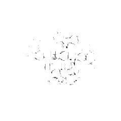 CC1(C)CCC(C)(C)c2cc(C3[C@H]4c5cc6c(cc5B5c7c(cc(N8c9ccccc9C9(C)CCCC[C@]89C)cc7N(c7ccc8c(c7)C(C)(C)CCC8(C)C)c7oc8c(c75)C(C)(C)CCC8(C)C)[C@@H]34)C(C)(C)CCC6(C)C)ccc21